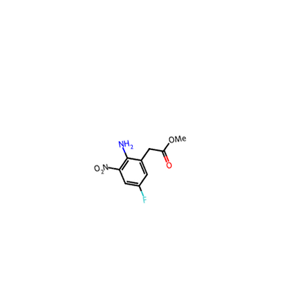 COC(=O)Cc1cc(F)cc([N+](=O)[O-])c1N